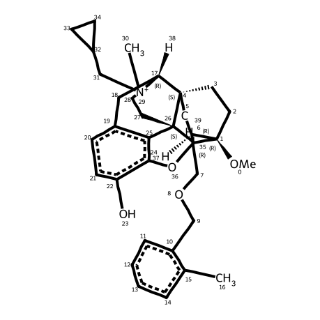 CO[C@]12CC[C@@]3(C[C@@H]1COCc1ccccc1C)[C@H]1Cc4ccc(O)c5c4[C@@]3(CC[N+]1(C)CC1CC1)[C@H]2O5